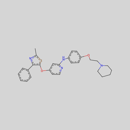 Cc1nc(-c2ccccc2)c(Oc2ccnc(Nc3ccc(OCCN4CCCCC4)cc3)c2)s1